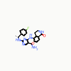 C[C@@H](Nc1ncc(C(N)=O)c(Nc2cccc3c2CCNC3=O)n1)c1ccc(F)cc1